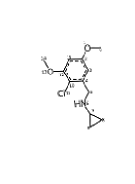 COc1cc(CNC2CC2)c(Cl)c(OC)c1